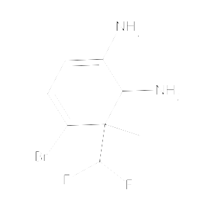 CC1(C(F)F)C(Br)=CC=C(N)C1N